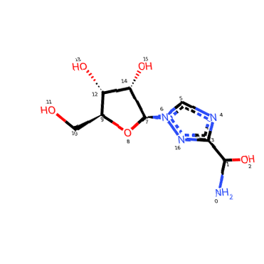 NC(O)c1ncn([C@H]2O[C@@H](CO)[C@H](O)[C@@H]2O)n1